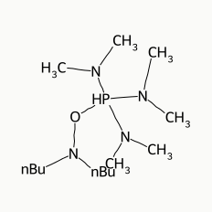 CCCCN(CCCC)O[PH](N(C)C)(N(C)C)N(C)C